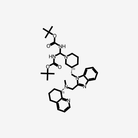 CN(Cc1nc2ccccc2n1C[C@H]1CCCN(C(NC(=O)OC(C)(C)C)NC(=O)OC(C)(C)C)C1)[C@H]1CCCc2cccnc21